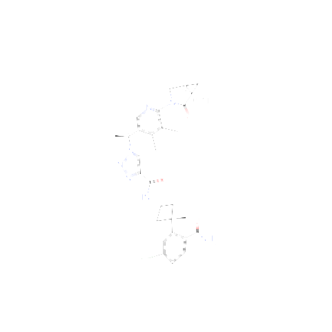 Cc1c([C@H](C)n2cc(C(=O)N[C@H]3C[C@@](C)(c4cc(Cl)ccc4C(N)=O)C3)nn2)cnc(N2C[C@H]3C[C@H]3C2=O)c1C